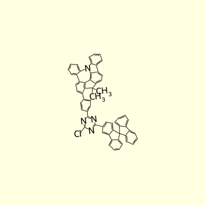 CC1(C)c2ccc3c4ccccc4n4c3c2-c2c(ccc(-c3ccc(-c5nc(Cl)nc(-c6ccc7c(c6)-c6ccccc6C76c7ccccc7-c7ccccc76)n5)cc3)c21)-c1ccccc1-4